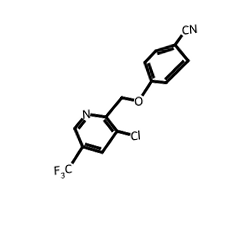 N#Cc1ccc(OCc2ncc(C(F)(F)F)cc2Cl)cc1